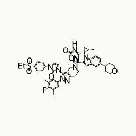 CCS(=O)(=O)c1ccc(-n2ccn(-c3c4c(nn3-c3cc(C)c(F)c(C)c3)CCN(C(=O)c3cc5cc(C6CCOCC6)ccc5n3[C@@]3(c5noc(=O)[nH]5)C[C@H]3C)[C@H]4C)c2=O)cc1